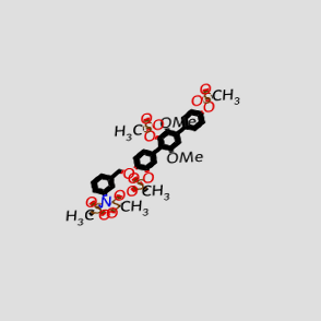 COc1cc(-c2ccc(OS(C)(=O)=O)cc2)c(OC)c(OS(C)(=O)=O)c1-c1ccc(OCc2cccc(N(S(C)(=O)=O)S(C)(=O)=O)c2)c(OS(C)(=O)=O)c1